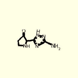 Nc1n[nH]c(C2NCCC2=O)n1